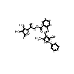 Cc1nn(-c2ccccc2)c(O)c1N=Nc1ccccc1C(=O)OCC(O)C1OC(=O)C(O)=C1O